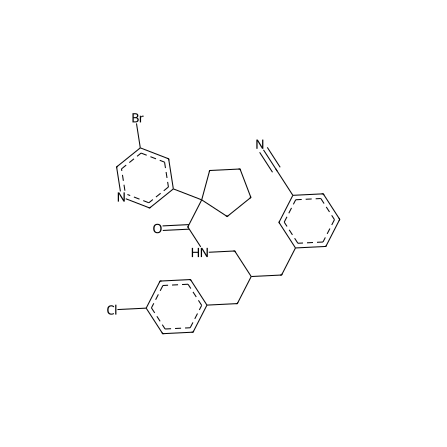 N#Cc1cccc(CC(CNC(=O)C2(c3cncc(Br)c3)CCCC2)Cc2ccc(Cl)cc2)c1